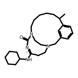 CC1CCCCCN2CCN(CC/C(NC3CCCCC3)=N\C2=O)Cc2cccc1c2